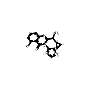 NC(c1nc2cccc(Cl)c2c(=O)n1-c1c[nH]cn1)C1CC1